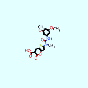 COc1cc(NC(=O)N(C)c2cc3oc(=O)c(C(=O)O)cc3s2)cc(OC)c1